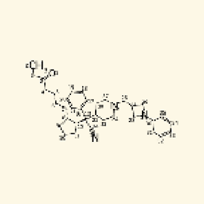 CCC(=O)CCCC[C@H]1CCC[C@@H]1C(C#N)(c1ccccc1)C1CCN(CC2CN(c3ccccc3)C2)CC1